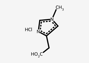 Cl.Cn1cnc(CC(=O)O)c1